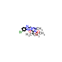 CCCN(Cc1nc2ccc(Br)cc2[nH]1)C(=O)[C@@H](NC(=O)OC)C(C)C